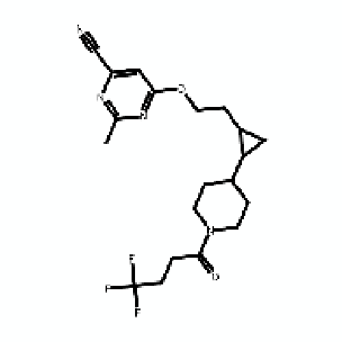 Cc1nc(C#N)cc(OCCC2CC2C2CCN(C(=O)CCC(F)(F)F)CC2)n1